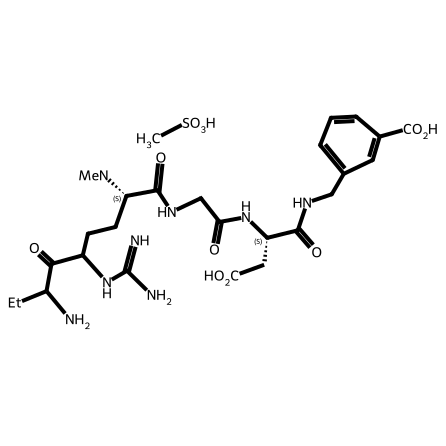 CCC(N)C(=O)C(CC[C@H](NC)C(=O)NCC(=O)N[C@@H](CC(=O)O)C(=O)NCc1cccc(C(=O)O)c1)NC(=N)N.CS(=O)(=O)O